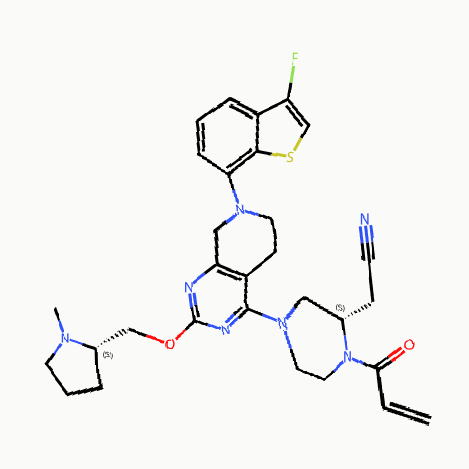 C=CC(=O)N1CCN(c2nc(OC[C@@H]3CCCN3C)nc3c2CCN(c2cccc4c(F)csc24)C3)C[C@@H]1CC#N